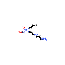 CC(C)CCCN(CCCNCCCN)/[N+]([O-])=N/O